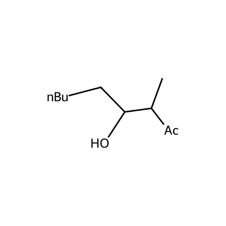 CCCCCC(O)C(C)C(C)=O